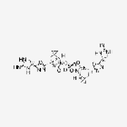 N=C1NC[C@@H](c2nnc([C@@H]3CC4(CC4)[C@@H]4CN3C(=O)N4OS(=O)(=O)ON3C(=O)N4C[C@H]3C3(CC3)C[C@H]4c3nnc([C@@H]4CNC(=N)N4)o3)o2)N1